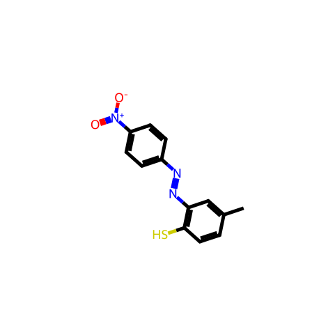 Cc1ccc(S)c(N=Nc2ccc([N+](=O)[O-])cc2)c1